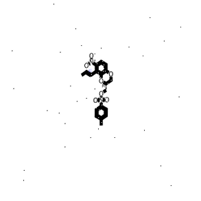 C/C=C/c1c([N+](=O)[O-])ccc2c1O[C@@H](COS(=O)(=O)c1ccc(C)cc1)CO2